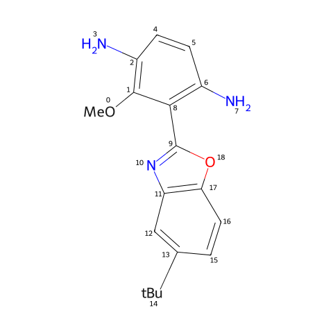 COc1c(N)ccc(N)c1-c1nc2cc(C(C)(C)C)ccc2o1